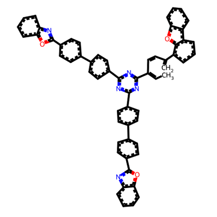 C=C(/C=C\C(=C/C)c1nc(-c2ccc(-c3ccc(-c4nc5ccccc5o4)cc3)cc2)nc(-c2ccc(-c3ccc(-c4nc5ccccc5o4)cc3)cc2)n1)c1cccc2c1oc1ccccc12